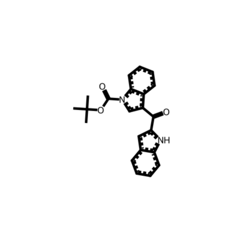 CC(C)(C)OC(=O)n1cc(C(=O)c2cc3ccccc3[nH]2)c2ccccc21